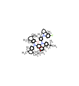 CC(C)(C)c1ccc(N2c3cc(N4c5ccc(F)cc5C5(C)CCCCC45C)ccc3B3c4cc5c(cc4N(c4ccc6c(c4)C(C)(C)CCC6(C)C)c4cc(C(C)(C)C)cc2c43)C(C)(C)CCC5(C)C)c(-c2ccccc2)c1